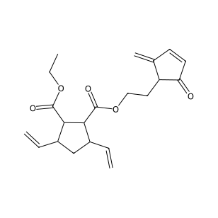 C=CC1CC(C=C)C(C(=O)OCCC2C(=C)C=CC2=O)C1C(=O)OCC